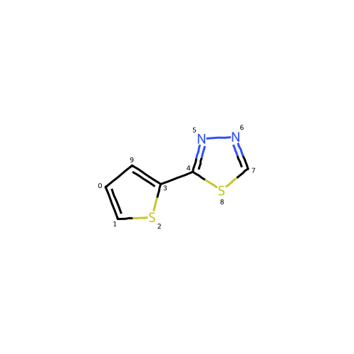 c1csc(-c2nncs2)c1